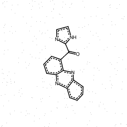 O=C(c1ncc[nH]1)c1cccc2nc3ccccc3nc12